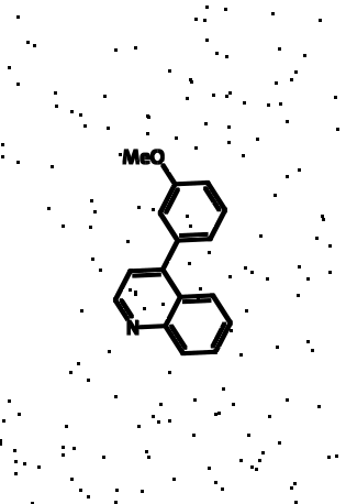 COc1cccc(-c2ccnc3ccccc23)c1